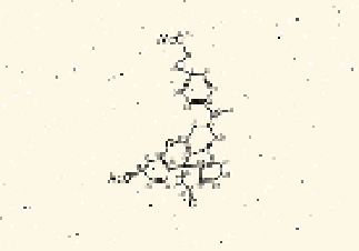 COCOc1ccc(N(C)c2ccc3c(c2)Oc2cc(OC(C)=O)ccc2C32OC(=O)c3ccccc32)cc1